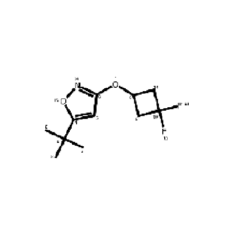 CC(C)(C)c1cc(OC2CC(F)(F)C2)no1